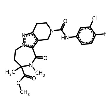 COC(=O)C1(C)CCn2nc3c(c2C(=O)N1C)CN(C(=O)Nc1ccc(F)c(Cl)c1)CC3